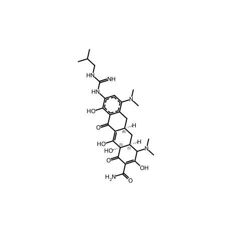 CC(C)CNC(=N)Nc1cc(N(C)C)c2c(c1O)C(=O)C1=C(O)[C@]3(O)C(=O)C(C(N)=O)=C(O)C(N(C)C)[C@@H]3C[C@@H]1C2